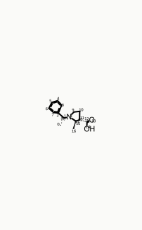 C[C@H](c1ccccc1)N1CC[C@H](C(=O)O)[C@H]1C